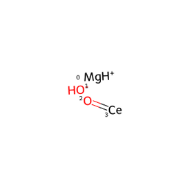 [MgH+].[OH-].[O]=[Ce]